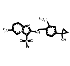 CCS(=O)(=O)c1c(NCc2ccc(C3(C#N)CC3)cc2C(=O)O)nc2ccc(C(F)(F)F)cn12